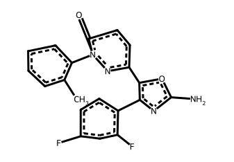 Cc1ccccc1-n1nc(-c2oc(N)nc2-c2ccc(F)cc2F)ccc1=O